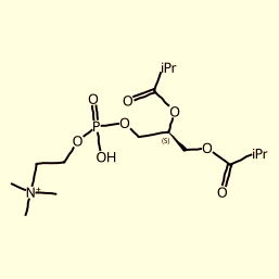 CC(C)C(=O)OC[C@@H](COP(=O)(O)OCC[N+](C)(C)C)OC(=O)C(C)C